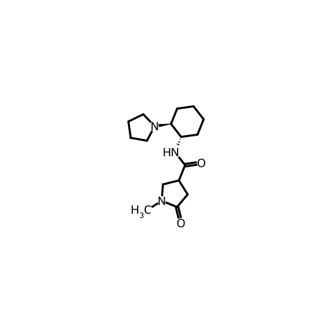 CN1CC(C(=O)N[C@H]2CCCC[C@@H]2N2CCCC2)CC1=O